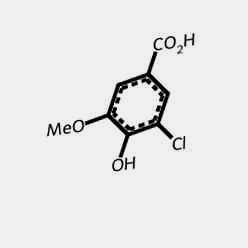 COc1cc(C(=O)O)cc(Cl)c1O